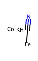 N#[C][Fe].[Co].[KH]